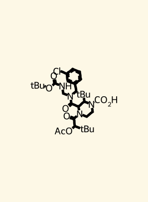 CC(=O)OC(C(=O)N1CCN(C(=O)O)C(C(C)(C)C)C1C(=O)N(CNC(=O)OC(C)(C)C)Cc1cccc(Cl)c1)C(C)(C)C